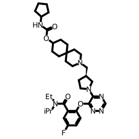 CCN(C(=O)c1cc(F)ccc1Oc1nncnc1N1CC[C@@H](CN2CCC3(CCC(OC(=O)NC4CCCC4)CC3)CC2)C1)C(C)C